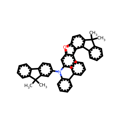 CC1(C)c2ccccc2-c2ccc(N(c3ccc4c(c3)oc3ccc5c(c34)-c3ccccc3C5(C)C)c3ccccc3-c3ccccc3)cc21